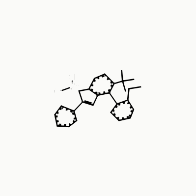 CCc1ccccc1-c1c(C(C)(C)C)ccc2c1C=C(c1ccccc1)[CH]2[Zr]([Cl])[Cl]